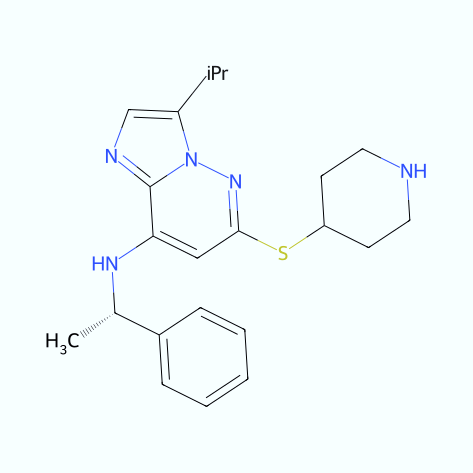 CC(C)c1cnc2c(N[C@@H](C)c3ccccc3)cc(SC3CCNCC3)nn12